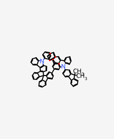 CC1(C)c2ccccc2-c2ccc(N(c3cc(-c4ccccc4)cc(-c4ccc5c(c4)C4(c6ccccc6-5)c5ccccc5-c5c4ccc4c5c5ccccc5n4-c4ccccc4)c3)c3ccccc3-c3ccccc3)cc21